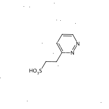 O=S(=O)(O)CCc1cccnn1